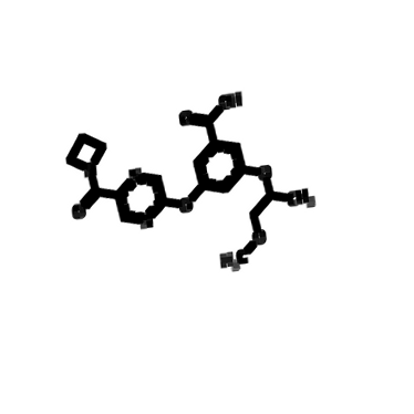 COCC(C)Oc1cc(Oc2cnc(C(=O)N3CCC3)cn2)cc(C(=O)O)c1